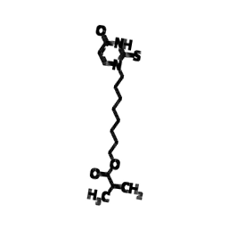 C=C(C)C(=O)OCCCCCCCCn1ccc(=O)[nH]c1=S